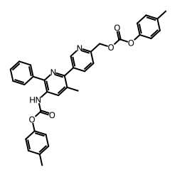 Cc1ccc(OC(=O)Nc2cc(C)c(-c3ccc(COC(=O)Oc4ccc(C)cc4)nc3)nc2-c2ccccc2)cc1